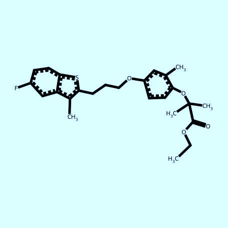 CCOC(=O)C(C)(C)Oc1ccc(OCCCc2sc3ccc(F)cc3c2C)cc1C